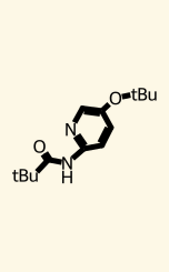 CC(C)(C)Oc1ccc(NC(=O)C(C)(C)C)nc1